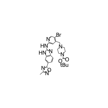 Cc1noc(-c2ccc3nc(Nc4cc(CN5CCN(C(=O)OC(C)(C)C)CC5)c(Br)cn4)[nH]c3c2)n1